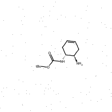 CC(C)(C)OC(=O)N[C@@H]1CC=CC[C@H]1N